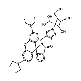 CCN(CC)c1ccc2c(c1)Oc1cc(N(CC)CC)ccc1C21c2ccccc2C(=O)N1Cc1cn([C@]2(C(O)O)C(O)[C@H](O)[C@@H]2CO)nn1